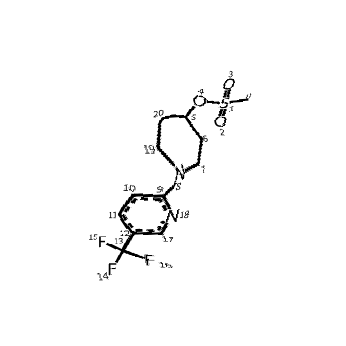 CS(=O)(=O)OC1CCN(c2ccc(C(F)(F)F)cn2)CC1